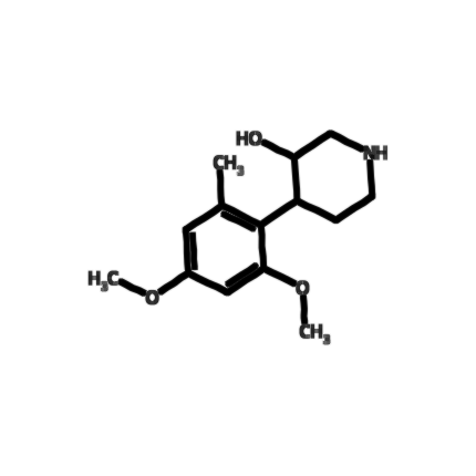 COc1cc(C)c(C2CCNCC2O)c(OC)c1